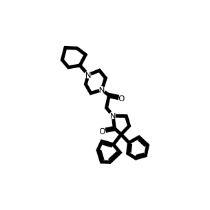 O=C(CN1CCC(c2ccccc2)(c2ccccc2)C1=O)N1CCN(C2CCCCC2)CC1